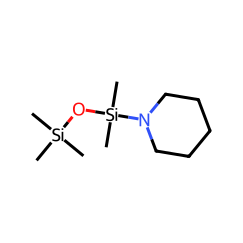 C[Si](C)(C)O[Si](C)(C)N1CCCCC1